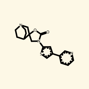 O=C1OC2(CN3CCC2CC3)CN1c1cc(-c2cccnc2)cs1